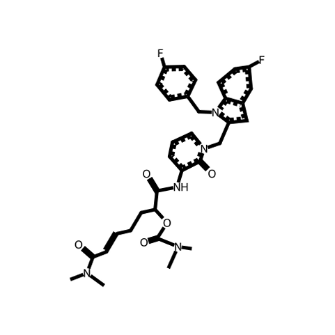 CN(C)C(=O)C=CCCC(OC(=O)N(C)C)C(=O)Nc1cccn(Cc2cc3cc(F)ccc3n2Cc2ccc(F)cc2)c1=O